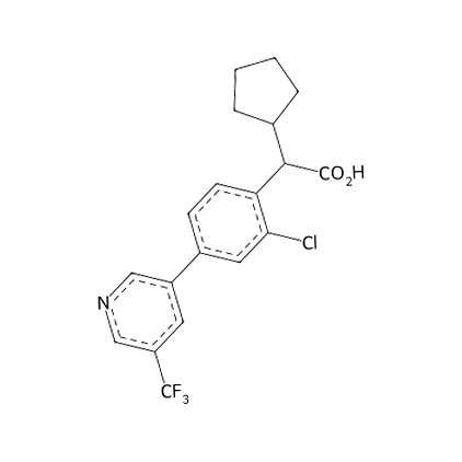 O=C(O)C(c1ccc(-c2cncc(C(F)(F)F)c2)cc1Cl)C1CCCC1